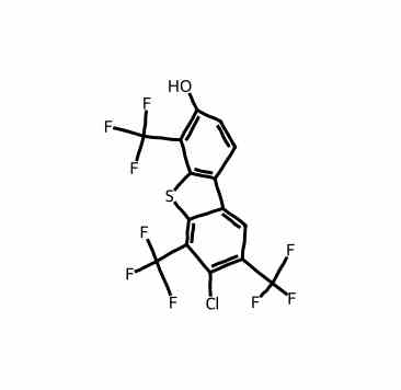 Oc1ccc2c(sc3c(C(F)(F)F)c(Cl)c(C(F)(F)F)cc32)c1C(F)(F)F